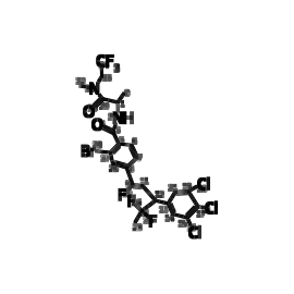 CC(NC(=O)c1ccc(/C(F)=C/C(c2cc(Cl)c(Cl)c(Cl)c2)C(C)(F)F)cc1Br)C(=O)N(C)CC(F)(F)F